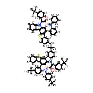 CC(C)(C)c1ccc(N2B3c4oc5ccc(C(C)(C)C)cc5c4-n4c5ccc(C(C)(C)Cc6ccc7sc8c(c9c%10c%11c8c8ccccc8n%11-c8c(oc%11ccc(C(C)(C)C)cc8%11)B%10N(c8ccccc8)c8ccccc8-9)c7c6)cc5c5c6sc7ccccc7c6c(c3c54)-c3cc(C(C)(C)C)ccc32)cc1